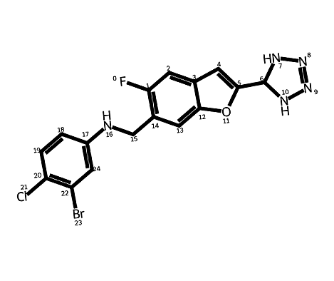 Fc1cc2cc(C3NN=NN3)oc2cc1CNc1ccc(Cl)c(Br)c1